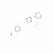 Cc1cc(-c2ccc(C3CCc4ccc(CC(C)C(=O)O)cc4O3)cc2C2CP3CCCC2N3C)c(F)cn1